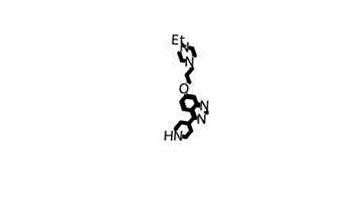 CCN1CCN(CCCOc2ccc3c(C4CCNCC4)ncnc3c2)CC1